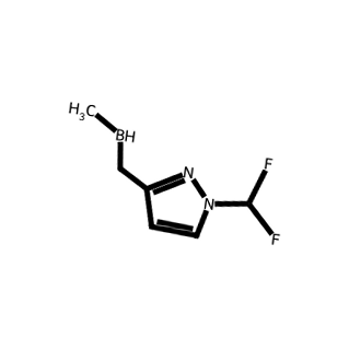 CBCc1ccn(C(F)F)n1